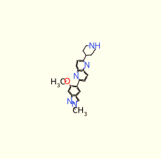 COc1cc2nn(C)cc2cc1-c1ccc2nc(C3CCNCC3)ccc2n1